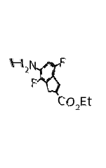 CCOC(=O)C1Cc2c(F)cc(N)c(F)c2C1